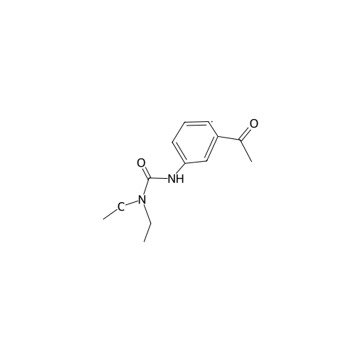 CCN(CC)C(=O)Nc1cc[c]c(C(C)=O)c1